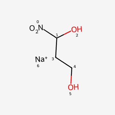 O=[N+]([O-])C(O)CCO.[Na+]